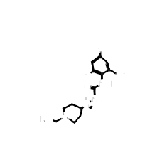 CC(C)c1cc(Cl)cc(C(C)C)c1NC(=O)NS(=O)(=O)C1CCN(CC#N)CC1